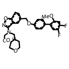 COc1cc(F)c(F)cc1-c1ccc(OCc2ccc3onc(N(CC(=O)O)CC4CCOCC4)c3c2)cc1